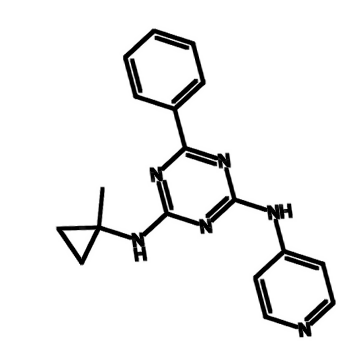 CC1(Nc2nc(Nc3ccncc3)nc(-c3ccccc3)n2)CC1